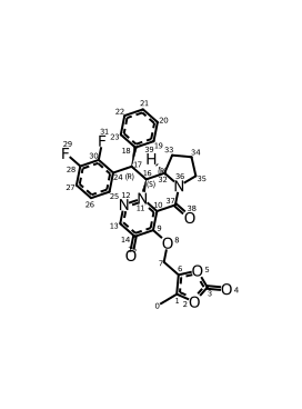 Cc1oc(=O)oc1COc1c2n(ncc1=O)[C@@H]([C@H](c1ccccc1)c1cccc(F)c1F)[C@H]1CCCN1C2=O